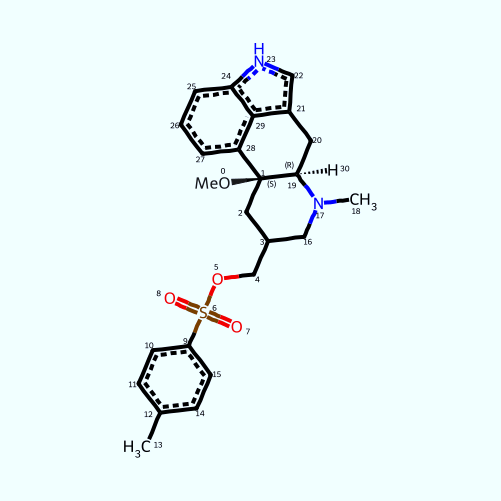 CO[C@]12CC(COS(=O)(=O)c3ccc(C)cc3)CN(C)[C@@H]1Cc1c[nH]c3cccc2c13